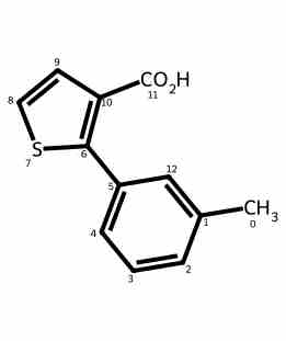 Cc1cccc(-c2sccc2C(=O)O)c1